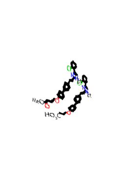 CCn1cc(-c2ccccc2Cl)nc1C=Cc1ccc(-c2ccc(OCCCC(=O)O)cc2)cc1.CCn1cc(-c2ccccc2Cl)nc1C=Cc1ccc(-c2ccc(OCCCC(=O)OC)cc2)cc1